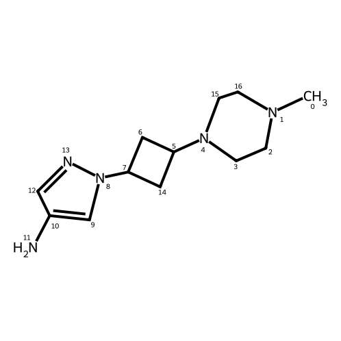 CN1CCN(C2CC(n3cc(N)cn3)C2)CC1